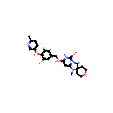 Cc1ccc(Oc2c(F)cc(COc3cc4n(c(=O)n3)CC3(CCOCC3)N4C)cc2F)cn1